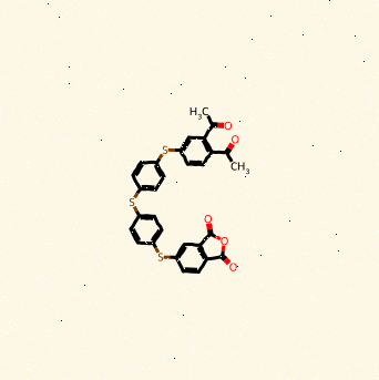 CC(=O)c1ccc(Sc2ccc(Sc3ccc(Sc4ccc5c(c4)C(=O)OC5=O)cc3)cc2)cc1C(C)=O